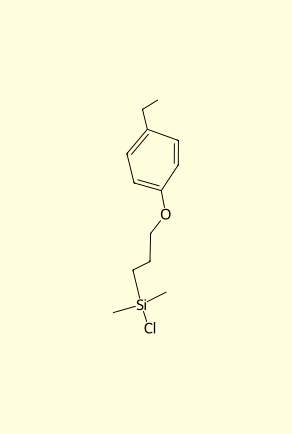 CCc1ccc(OCCC[Si](C)(C)Cl)cc1